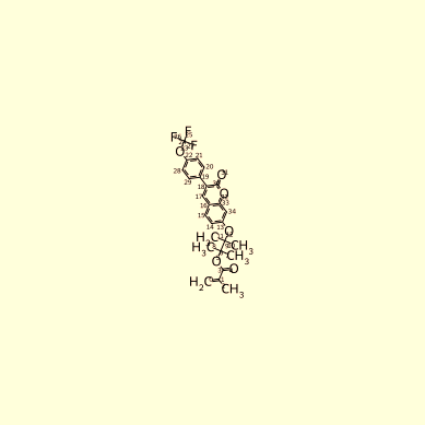 C=C(C)C(=O)OC(C)(C)C(C)(C)Oc1ccc2cc(-c3ccc(OC(F)(F)F)cc3)c(=O)oc2c1